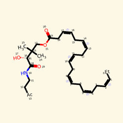 CC/C=C\C/C=C\C/C=C\C/C=C\C/C=C\C/C=C\CC(=O)OCC(C)(C)[C@@H](O)C(=O)NCCC(C)=O